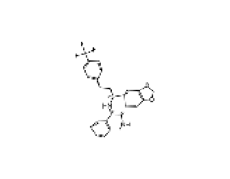 C=C(NC)[C@H](N[C@@H](CCc1ccc(C(F)(F)F)cc1)c1ccc2c(c1)OCO2)c1ccccc1